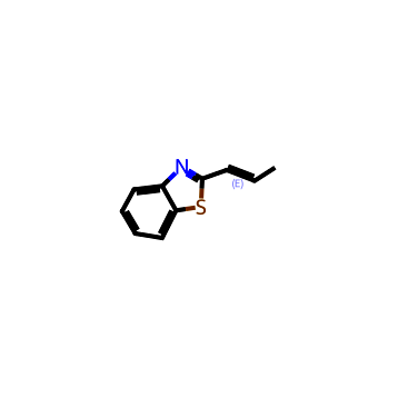 C/C=C/c1nc2ccccc2s1